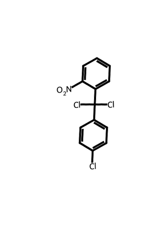 O=[N+]([O-])c1ccccc1C(Cl)(Cl)c1ccc(Cl)cc1